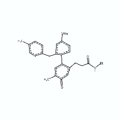 CCNC(=O)CCc1cc(=O)n(C)cc1-c1ccc(OC)cc1Cc1ccc(C)cn1